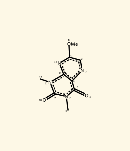 COc1cnc2c(=O)n(C)c(=O)n(C)c2n1